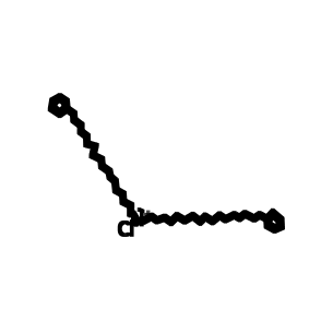 C[N+](C)(CCCCCCCCCCCCCCCCCCc1ccccc1)CCCCCCCCCCCCCCCCCCc1ccccc1.[Cl-]